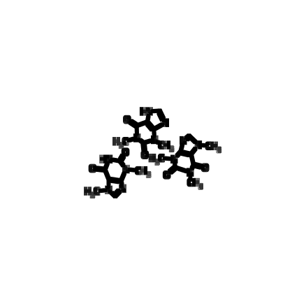 Cn1c(=O)c2[nH]cnc2n(C)c1=O.Cn1c(=O)c2c(ncn2C)n(C)c1=O.Cn1cnc2c1c(=O)[nH]c(=O)n2C